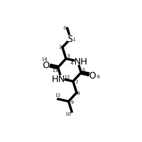 CSCC1NC(=O)C(CC(C)C)NC1=O